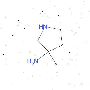 CC1(N)CCNC1